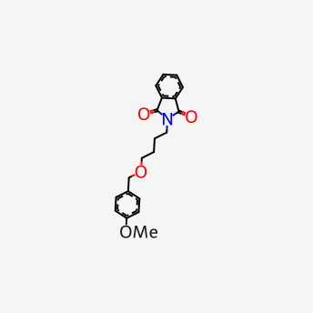 COc1ccc(COCCCCN2C(=O)c3ccccc3C2=O)cc1